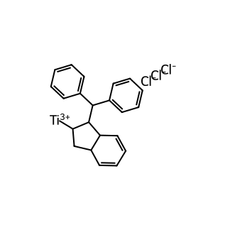 [Cl-].[Cl-].[Cl-].[Ti+3][CH]1CC2C=CC=CC2C1C(c1ccccc1)c1ccccc1